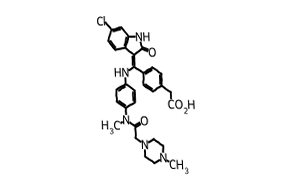 CN1CCN(CC(=O)N(C)c2ccc(NC(=C3C(=O)Nc4cc(Cl)ccc43)c3ccc(CC(=O)O)cc3)cc2)CC1